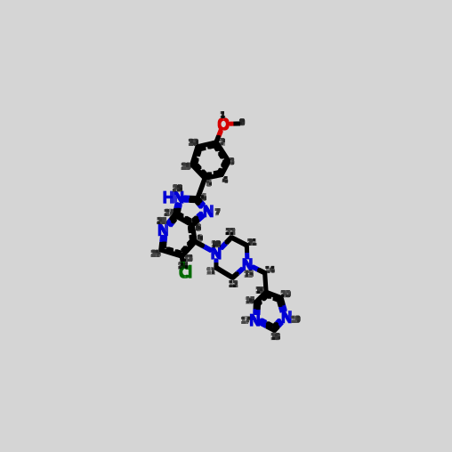 COc1ccc(-c2nc3c(N4CCN(Cc5cncnc5)CC4)c(Cl)cnc3[nH]2)cc1